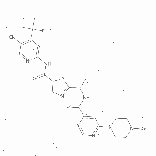 CC(=O)N1CCN(c2cc(C(=O)NC(C)c3ncc(C(=O)Nc4cc(C(C)(F)F)c(Cl)cn4)s3)ncn2)CC1